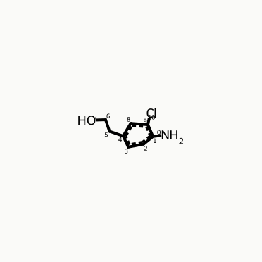 Nc1ccc(CCO)cc1Cl